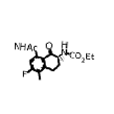 CCOC(=O)N[C@H]1CCc2c(C)c(F)cc(NC(C)=O)c2C1=O